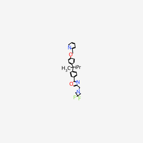 CC(C)C(C)(c1ccc(OCc2ccccn2)cc1)c1ccc(-c2nc(CN3CC(F)(F)C3)co2)cc1